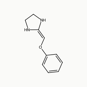 C(Oc1ccccc1)=C1NCCN1